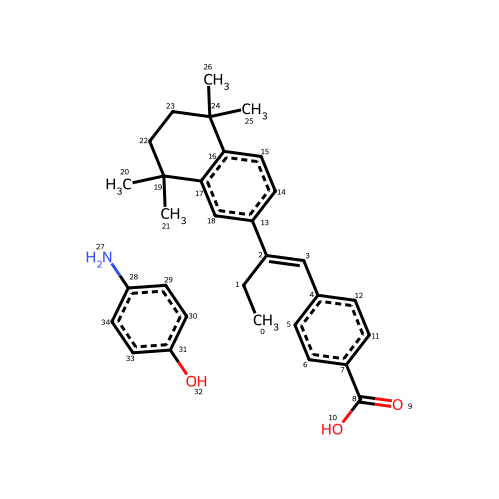 CCC(=Cc1ccc(C(=O)O)cc1)c1ccc2c(c1)C(C)(C)CCC2(C)C.Nc1ccc(O)cc1